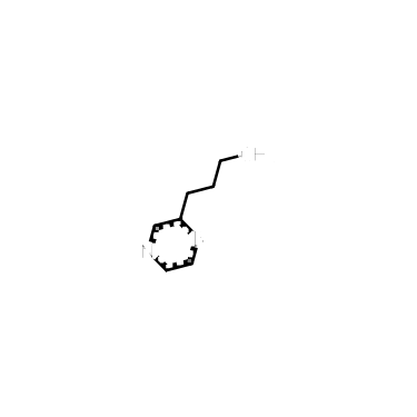 CCCCc1bccnc1